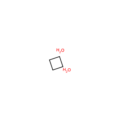 C1CCC1.O.O